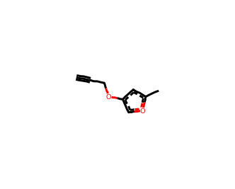 C#CCOc1coc(C)c1